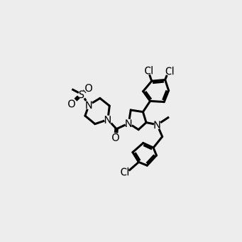 CN(Cc1ccc(Cl)cc1)C1CN(C(=O)N2CCN(S(C)(=O)=O)CC2)CC1c1ccc(Cl)c(Cl)c1